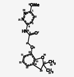 COc1ccc(NC(=O)COc2cccc3c2OC(C)(C)C3)nn1